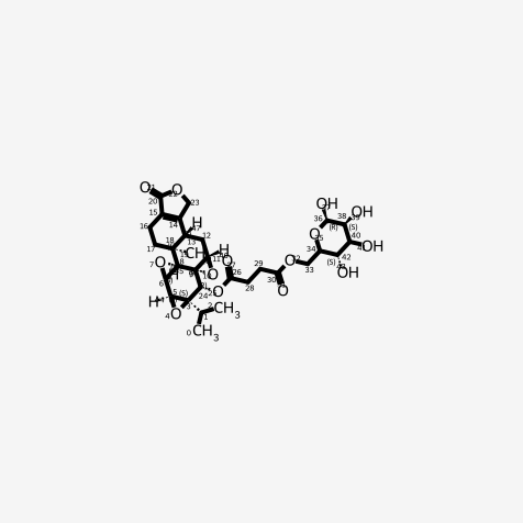 CC(C)[C@]12O[C@H]1[C@@H]1O[C@]13[C@]1(O[C@H]1C[C@H]1C4=C(CC[C@@]13C)C(=O)OC4)[C@@H]2OC(=O)CCC(=O)OCC1O[C@@H](O)[C@@H](O)C(O)[C@@H]1O